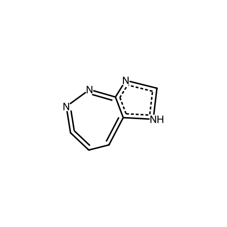 C1=CC=c2[nH]cnc2=NN=1